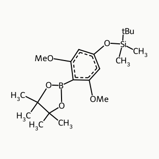 COc1cc(O[Si](C)(C)C(C)(C)C)cc(OC)c1B1OC(C)(C)C(C)(C)O1